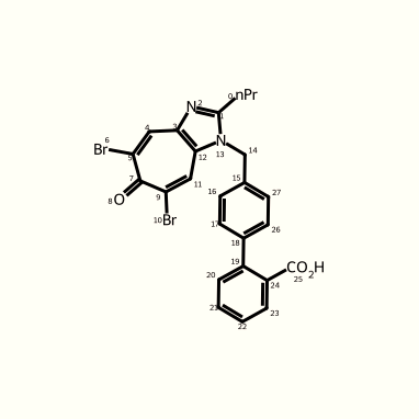 CCCc1nc2cc(Br)c(=O)c(Br)cc2n1Cc1ccc(-c2ccccc2C(=O)O)cc1